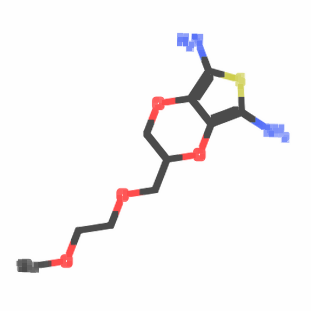 CC(C)(C)OCCOCC1COc2c(N)sc(N)c2O1